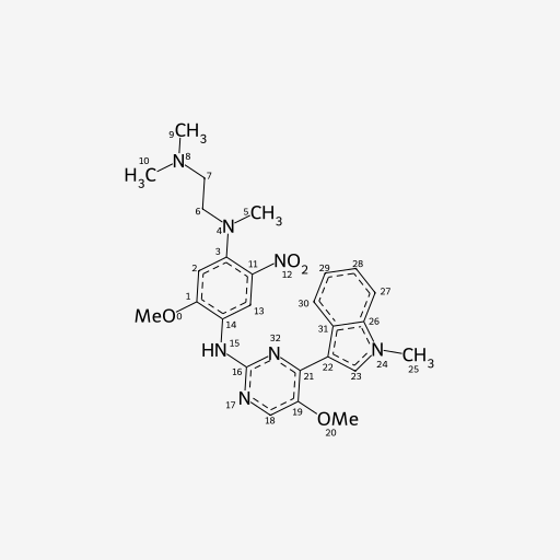 COc1cc(N(C)CCN(C)C)c([N+](=O)[O-])cc1Nc1ncc(OC)c(-c2cn(C)c3ccccc23)n1